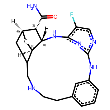 NC(=O)[C@H]1[C@@H]2CC3CNCCc4cccc(c4)Nc4ncc(F)c(n4)N[C@@H]1[C@@H]3C2